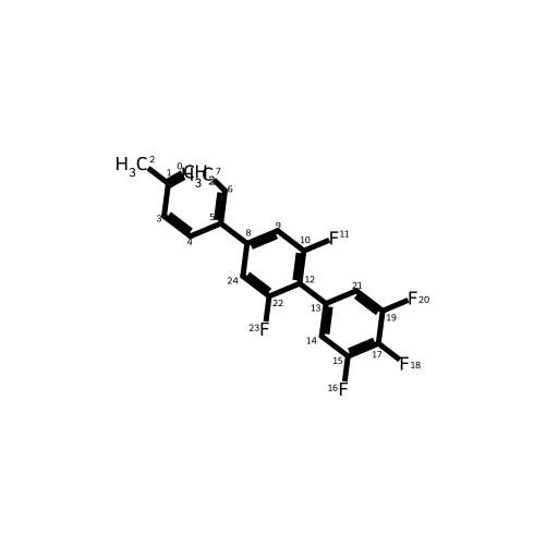 C=C(C)/C=C\C(=C/C)c1cc(F)c(-c2cc(F)c(F)c(F)c2)c(F)c1